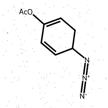 CC(=O)OC1=CCC(N=[N+]=[N-])C=C1